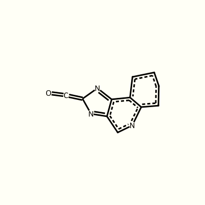 O=C=C1N=c2cnc3ccccc3c2=N1